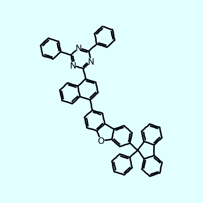 c1ccc(-c2nc(-c3ccccc3)nc(-c3ccc(-c4ccc5oc6cc(C7(c8ccccc8)c8ccccc8-c8ccccc87)ccc6c5c4)c4ccccc34)n2)cc1